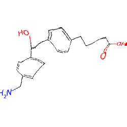 NCc1ccc(C(O)c2ccc(CCCC(=O)O)cc2)cc1